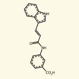 O=C(C=Cc1c[nH]c2ccccc12)Nc1cccc(C(=O)O)c1